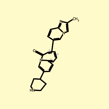 Cc1cn2cc(C3=C\C(=O)N4C=C(C5CCNCC5)C=C\C4=C/C=C/3)ccc2n1